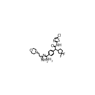 N/C(=N\N(N)CCN1CCOCC1)c1ccc(C(C(=O)Nc2ncc(Cl)s2)C2CCC(F)(F)C2)cc1